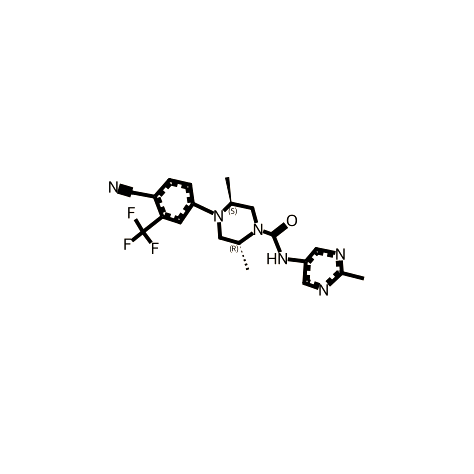 Cc1ncc(NC(=O)N2C[C@H](C)N(c3ccc(C#N)c(C(F)(F)F)c3)C[C@H]2C)cn1